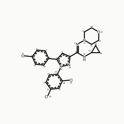 Clc1ccc(-c2cc(C(=NN3CCOCC3)NC3CC3)nn2-c2ccc(Cl)cc2Cl)cc1